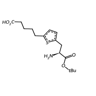 CC(C)(C)OC(=O)[C@@H](N)Cc1ccc(CCCCC(=O)O)s1